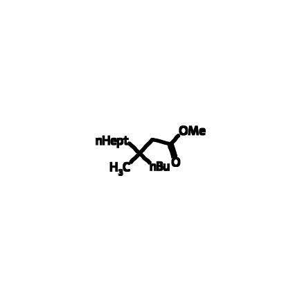 CCCCCCCC(C)(CCCC)CC(=O)OC